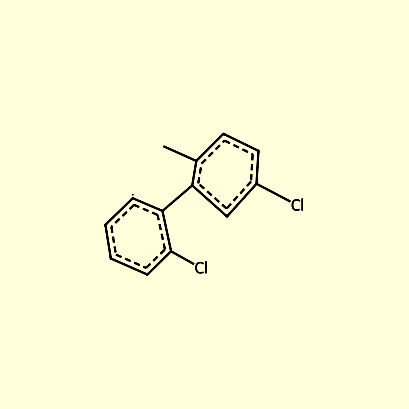 Cc1ccc(Cl)cc1-c1[c]cccc1Cl